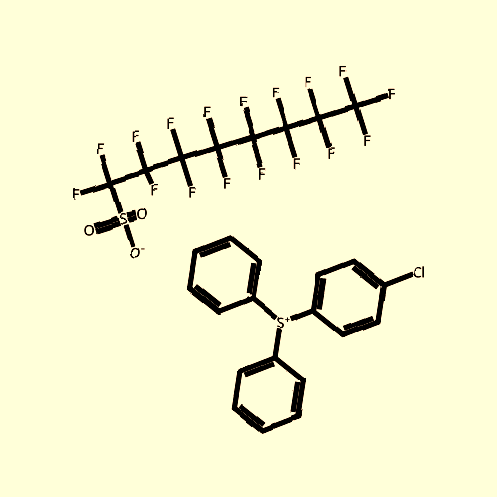 Clc1ccc([S+](c2ccccc2)c2ccccc2)cc1.O=S(=O)([O-])C(F)(F)C(F)(F)C(F)(F)C(F)(F)C(F)(F)C(F)(F)C(F)(F)C(F)(F)F